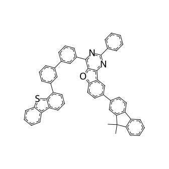 CC1(C)c2ccccc2-c2ccc(-c3ccc4oc5c(-c6cccc(-c7cccc(-c8cccc9c8sc8ccccc89)c7)c6)nc(-c6ccccc6)nc5c4c3)cc21